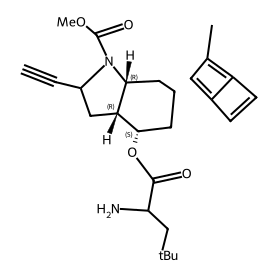 C#CC1C[C@H]2[C@@H](OC(=O)C(N)CC(C)(C)C)CCC[C@H]2N1C(=O)OC.Cc1cc2ccc1-2